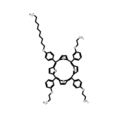 CCCCCCCCCCOc1ccc(-c2c3nc(c(-c4cccc(OCCC)c4)c4ccc([nH]4)c(-c4ccc(OCCC)cc4)c4nc(c(-c5cccc(OCCC)c5)c5ccc2[nH]5)C=C4)C=C3)cc1